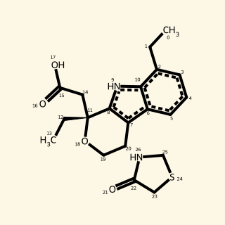 CCc1cccc2c3c([nH]c12)[C@@](CC)(CC(=O)O)OCC3.O=C1CSCN1